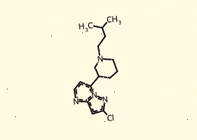 CC(C)CCN1CCCC(c2ccnc3cc(Cl)nn23)C1